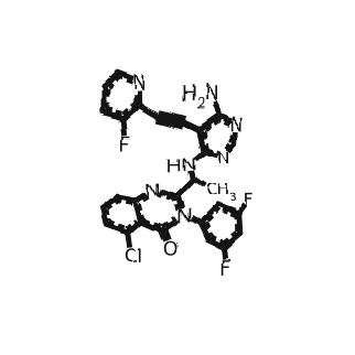 CC(Nc1ncnc(N)c1C#Cc1ncccc1F)c1nc2cccc(Cl)c2c(=O)n1-c1cc(F)cc(F)c1